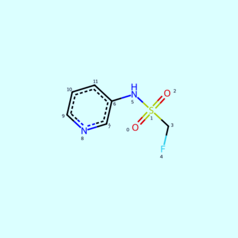 O=S(=O)(CF)Nc1[c]nccc1